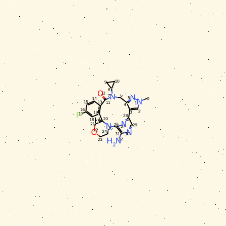 Cn1cc2c(n1)CN(C1CC1)C(=O)c1ccc(F)cc1[C@H]1COCCN1c1nc-2cnc1N